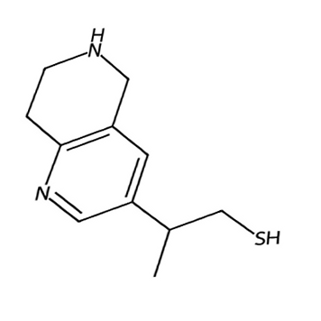 CC(CS)c1cnc2c(c1)CNCC2